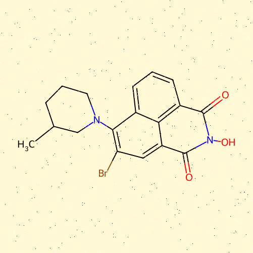 CC1CCCN(c2c(Br)cc3c4c(cccc24)C(=O)N(O)C3=O)C1